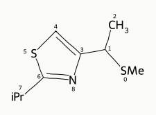 CSC(C)c1csc(C(C)C)n1